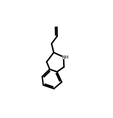 C=CCC1Cc2ccccc2CN1